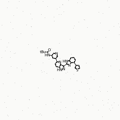 CC(C)(C)C(=O)Nc1cncc(-c2ccc3[nH]nc(-c4nc5c(-c6ccsc6)cccc5[nH]4)c3n2)c1